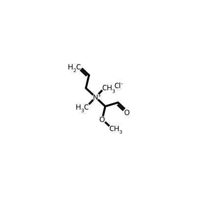 C=CC[N+](C)(C)C(C=O)OC.[Cl-]